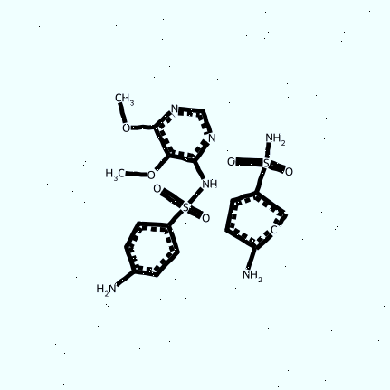 COc1ncnc(NS(=O)(=O)c2ccc(N)cc2)c1OC.Nc1ccc(S(N)(=O)=O)cc1